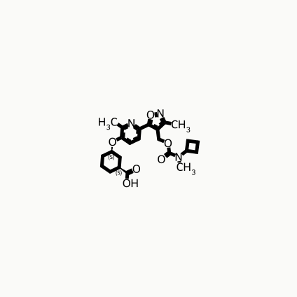 Cc1nc(-c2onc(C)c2COC(=O)N(C)C2CCC2)ccc1O[C@H]1CCC[C@H](C(=O)O)C1